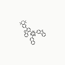 CC1(C)CCC(C)(C)c2cc(-c3ccc(-c4nc(-c5ccc6ccccc6c5)nc(-c5ccc6sc7ccccc7c6c5)n4)c4c3oc3ccccc34)ccc21